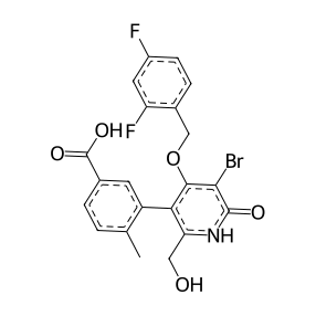 Cc1ccc(C(=O)O)cc1-c1c(CO)[nH]c(=O)c(Br)c1OCc1ccc(F)cc1F